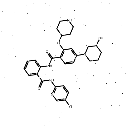 O=C(Nc1ccc(Cl)cn1)c1ccccc1NC(=O)c1ccc(N2CCC[C@H](O)C2)cc1OC1CCNCC1